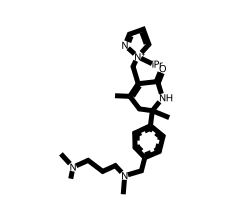 CC1=C(C[N+]2(C(C)C)C=CC=N2)C(=O)NC(C)(c2ccc(CN(C)CCCN(C)C)cc2)C1